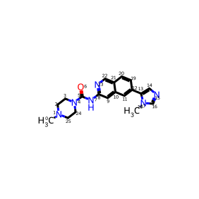 CN1CCN(C(=O)Nc2cc3cc(-c4cncn4C)ccc3cn2)CC1